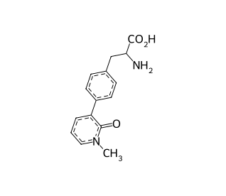 Cn1cccc(-c2ccc(CC(N)C(=O)O)cc2)c1=O